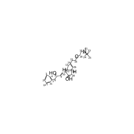 Cc1cccc(C[C@H](O)/C=C/[C@@H]2[C@H]3CC(CCOCCN(C)C(C)(C)C)=C[C@H]3C[C@H]2O)c1